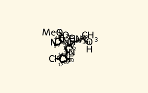 COC(=O)c1cnccc1Nc1cc(-c2cc(Cl)ccc2F)ncc1C(C)CN[C@@H](C)CO